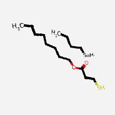 CCCCCCCCOC(=O)CCS.CCC[CH2][SnH]